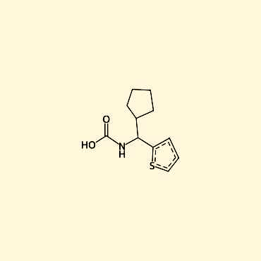 O=C(O)NC(c1cccs1)C1CCCC1